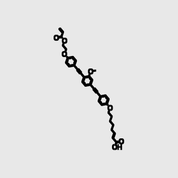 C=CC(=O)OCCOc1ccc(C#Cc2ccc(C#Cc3ccc(OCCCCCC=CC(=O)O)cc3)cc2OC)cc1